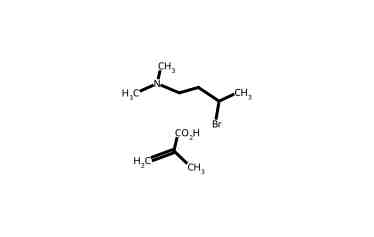 C=C(C)C(=O)O.CC(Br)CCN(C)C